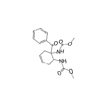 COC(=O)NC1CC=CCC1(NC(=O)OC)C(=O)c1ccccc1